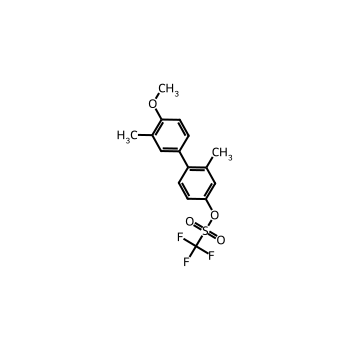 COc1ccc(-c2ccc(OS(=O)(=O)C(F)(F)F)cc2C)cc1C